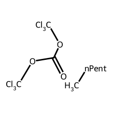 CCCCCC.O=C(OC(Cl)(Cl)Cl)OC(Cl)(Cl)Cl